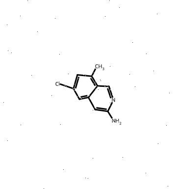 Cc1cc(Cl)cc2cc(N)ncc12